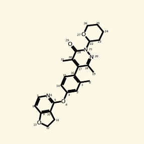 Cc1cc(Oc2nccc3c2CCO3)ccc1-c1c(C)nn(C2CCCCO2)c(=O)c1C